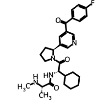 CN[C@@H](C)C(=O)N[C@H](C(=O)N1CCC[C@H]1c1cncc(C(=O)c2ccc(F)cc2)c1)C1CCCCC1